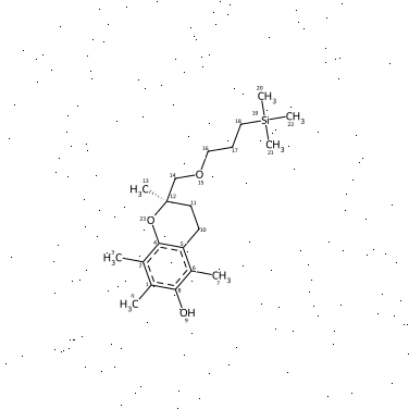 Cc1c(C)c2c(c(C)c1O)CC[C@](C)(COCCC[Si](C)(C)C)O2